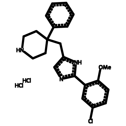 COc1ccc(Cl)cc1-c1ncc(CC2(c3ccccc3)CCNCC2)[nH]1.Cl.Cl